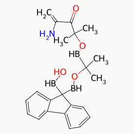 C=C(N)C(=O)C(C)(C)OBC(C)(C)OBC1(BO)c2ccccc2-c2ccccc21